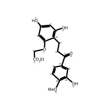 CCOC(=O)COc1cc(O)cc(O)c1CCC(=O)c1ccc(OC)c(O)c1